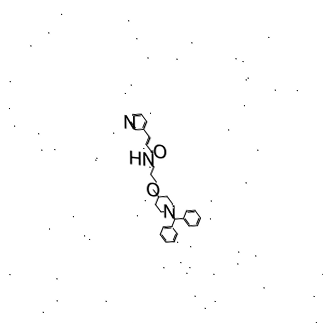 O=C(C=Cc1cccnc1)NCCCOC1CCN(C(c2ccccc2)c2ccccc2)CC1